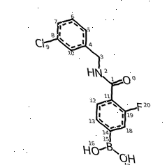 O=C(NCc1cccc(Cl)c1)c1ccc(B(O)O)cc1F